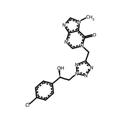 Cn1cnc2ncn(Cc3nnn(C[C@H](O)c4ccc(Cl)cc4)n3)c(=O)c21